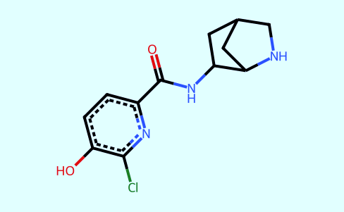 O=C(NC1CC2CNC1C2)c1ccc(O)c(Cl)n1